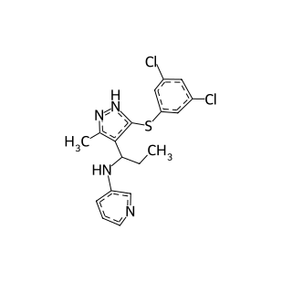 CCC(Nc1cccnc1)c1c(C)n[nH]c1Sc1cc(Cl)cc(Cl)c1